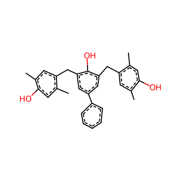 Cc1cc(Cc2cc(-c3ccccc3)cc(Cc3cc(C)c(O)cc3C)c2O)c(C)cc1O